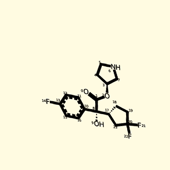 O=C(O[C@H]1CCNC1)[C@](O)(c1ccc(F)cc1)[C@@H]1CCC(F)(F)C1